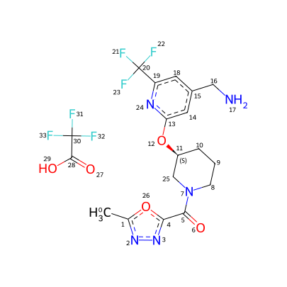 Cc1nnc(C(=O)N2CCC[C@H](Oc3cc(CN)cc(C(F)(F)F)n3)C2)o1.O=C(O)C(F)(F)F